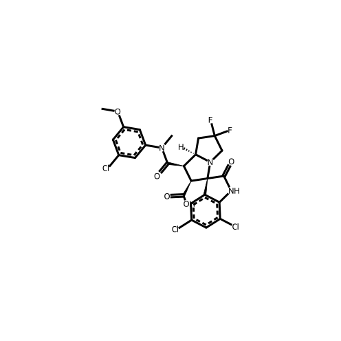 COc1cc(Cl)cc(N(C)C(=O)[C@H]2[C@H]3CC(F)(F)CN3[C@]3(C(=O)Nc4c(Cl)cc(Cl)cc43)[C@H]2C(=O)O)c1